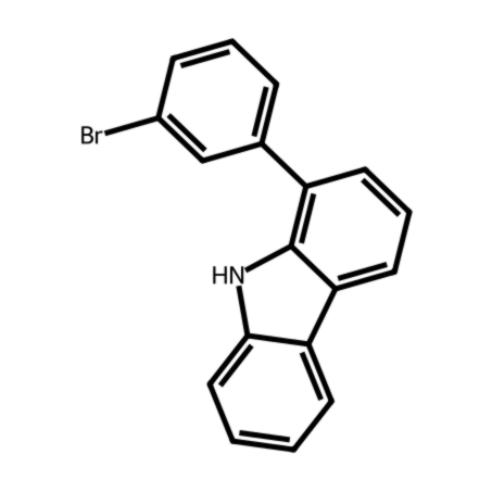 Brc1cccc(-c2cccc3c2[nH]c2ccccc23)c1